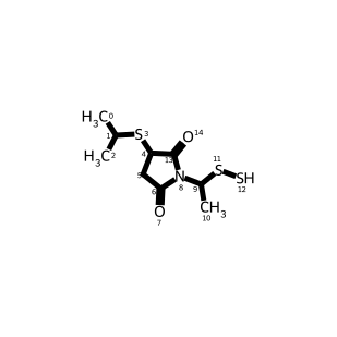 CC(C)SC1CC(=O)N(C(C)SS)C1=O